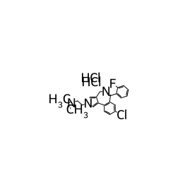 CN(C)CCn1cc2c(c1)-c1ccc(Cl)cc1C(c1ccccc1F)=NC2.Cl.Cl